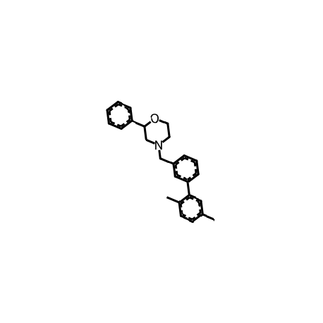 Cc1ccc(C)c(-c2cccc(CN3CCOC(c4ccccc4)C3)c2)c1